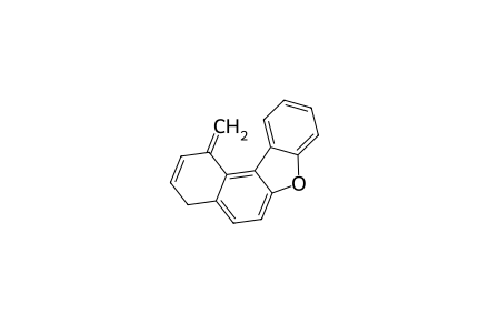 C=C1C=CCc2ccc3oc4ccccc4c3c21